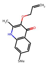 C=CCOc1c(C)[nH]c2cc(SC)ccc2c1=O